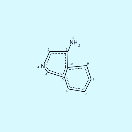 Nc1[c]ncc2ccccc12